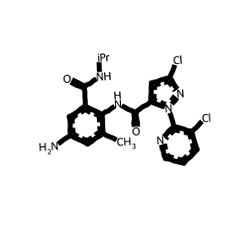 Cc1cc(N)cc(C(=O)NC(C)C)c1NC(=O)c1cc(Cl)nn1-c1ncccc1Cl